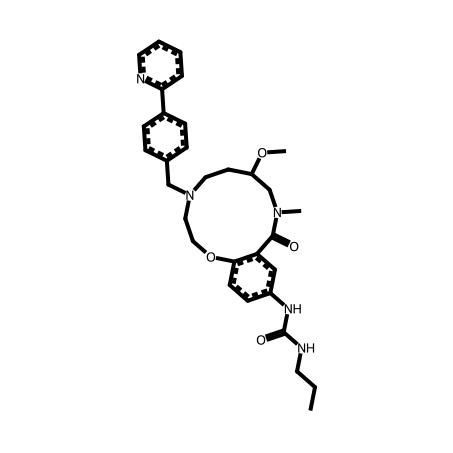 CCCNC(=O)Nc1ccc2c(c1)C(=O)N(C)CC(OC)CCN(Cc1ccc(-c3ccccn3)cc1)CCO2